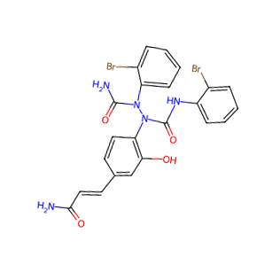 NC(=O)/C=C/c1ccc(N(C(=O)Nc2ccccc2Br)N(C(N)=O)c2ccccc2Br)c(O)c1